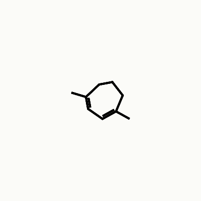 CC1=CC=C(C)CCC1